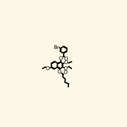 CCCCCC(=O)Oc1c(OCC)c(OCC)c(OC(=O)c2cccc(Br)c2)c2ccc(OCC)cc12